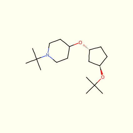 CC(C)(C)O[C@@H]1CC[C@@H](OC2CCN(C(C)(C)C)CC2)C1